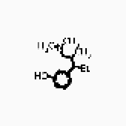 CC[C@@H](c1cccc(O)c1)C(C)CN(C)C